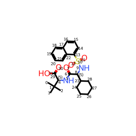 CC(C)(C)[C@H](NC(=O)[C@@H](NS(=O)(=O)c1cccc2ccccc12)C1CCCCC1)C(=O)O